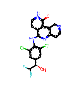 O=c1[nH]ccc2c(Nc3c(Cl)cc([C@@H](O)C(F)F)cc3Cl)nc3ccncc3c12